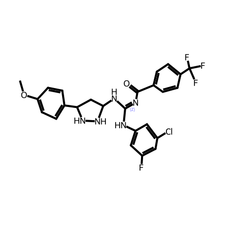 COc1ccc(C2CC(N/C(=N\C(=O)c3ccc(C(F)(F)F)cc3)Nc3cc(F)cc(Cl)c3)NN2)cc1